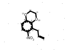 C=CCc1c([N+](=O)[O-])ccc2c1OCCO2